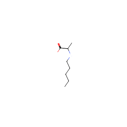 [CH2]C(NCCCCC)C(=O)O